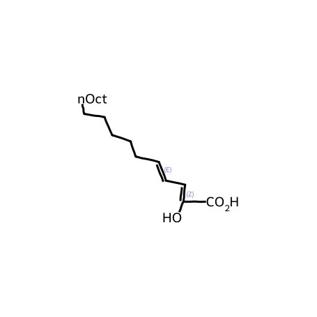 CCCCCCCCCCCCC/C=C/C=C(\O)C(=O)O